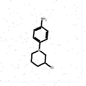 CCC1CCCN(c2ccc(N)cc2)C1